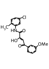 COc1cccc(C(=O)/C=C(\O)C(=O)Nc2cc(Cl)ccc2C)c1